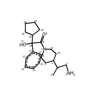 CC(CN)C1CCN(C(=O)C(O)(c2ccccc2)C2CCCC2)CC1